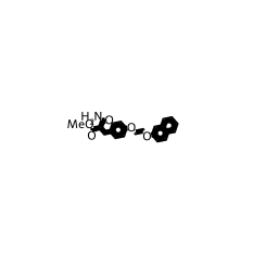 COC(=O)C(Cc1ccc(OCCOc2ccc3ccccc3c2)cc1)C(N)=O